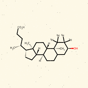 [2H]C1([2H])[C@@H](O)CC2CC[C@H]3[C@@H]4CC[C@H]([C@H](C)CCC(=O)O)[C@@]4(C)CC[C@@H]3[C@@]2(C)C1([2H])[2H]